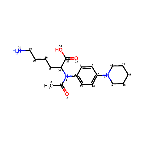 CC(=O)N(c1ccc(N2CCCCC2)cc1)C(CCCCN)C(=O)O